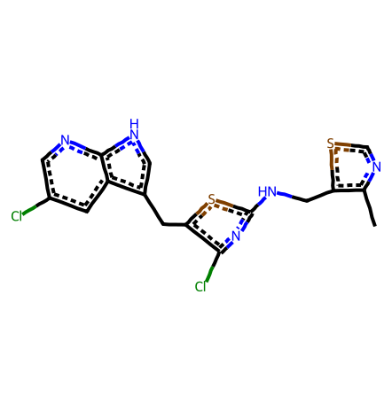 Cc1ncsc1CNc1nc(Cl)c(Cc2c[nH]c3ncc(Cl)cc23)s1